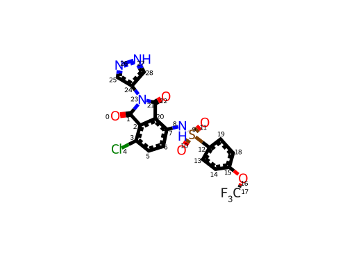 O=C1c2c(Cl)ccc(NS(=O)(=O)c3ccc(OC(F)(F)F)cc3)c2C(=O)N1c1cn[nH]c1